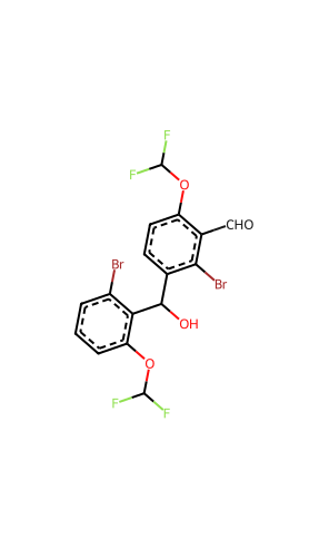 O=Cc1c(OC(F)F)ccc(C(O)c2c(Br)cccc2OC(F)F)c1Br